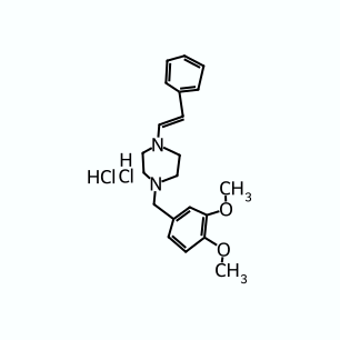 COc1ccc(CN2CCN(C=Cc3ccccc3)CC2)cc1OC.Cl.Cl